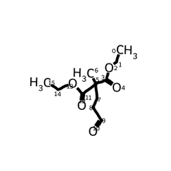 CCOC(=O)C(C)(CCC=O)C(=O)OCC